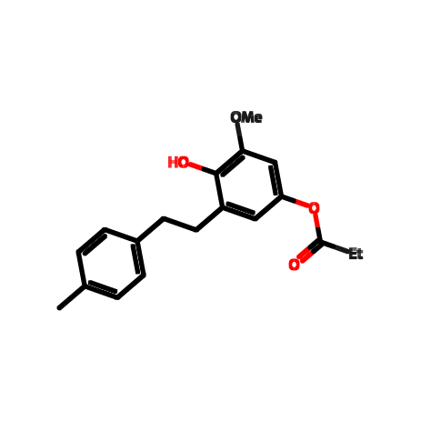 CCC(=O)Oc1cc(CCc2ccc(C)cc2)c(O)c(OC)c1